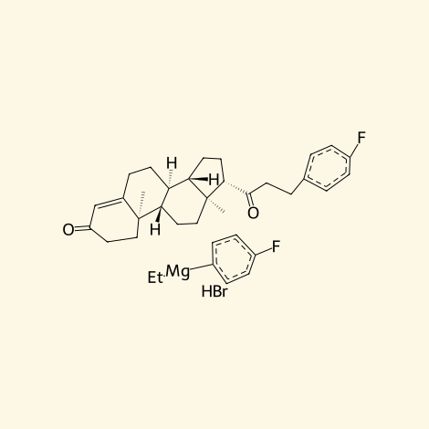 Br.C[C@]12CC[C@H]3[C@@H](CCC4=CC(=O)CC[C@@]43C)[C@@H]1CC[C@@H]2C(=O)CCc1ccc(F)cc1.C[CH2][Mg][c]1ccc(F)cc1